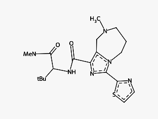 CNC(=O)C(NC(=O)c1nc(-c2nccs2)n2c1CN(C)CCC2)C(C)(C)C